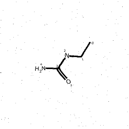 CC[N]C(N)=O